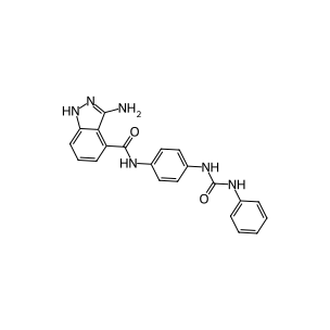 Nc1n[nH]c2cccc(C(=O)Nc3ccc(NC(=O)Nc4ccccc4)cc3)c12